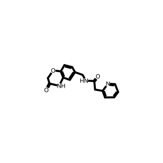 O=C(Cc1ccccn1)NCc1ccc2c(c1)NC(=O)CO2